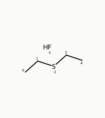 CCSCC.F